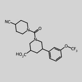 N#CC1CCN(C(=O)N2CC(C(=O)O)CC(c3cccc(OC(F)(F)F)c3)C2)CC1